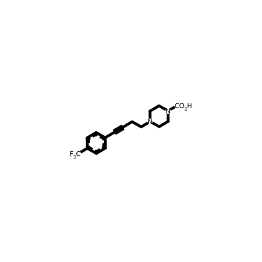 O=C(O)N1CCN(CCC#Cc2ccc(C(F)(F)F)cc2)CC1